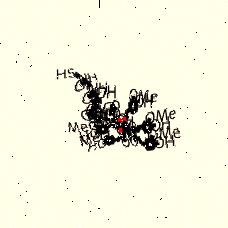 COc1cc(/C=C/C(=O)c2nc(N(C(=O)/C=C/c3ccc(O)c(OC)c3)C(=O)/C=C/c3ccc(O)c(OC)c3)c3nc(C(=O)/C=C/c4ccc(O)c(OC)c4)n([C@]4(C(=O)/C=C/c5ccc(O)c(OC)c5)O[C@H](COP(=O)(O)OP(=O)(O)OCC(C)(C)[C@@H](O)C(=O)NCCC(=O)NCCS)[C@@H](OP(=O)(O)O)[C@H]4O)c3n2)ccc1O